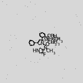 CN(C(=O)N1CC(c2ccccc2)=C[C@@]1(CO[Si](C)(C)C(C)(C)C)c1ccccc1)[C@@H]1CNC[C@H]1F